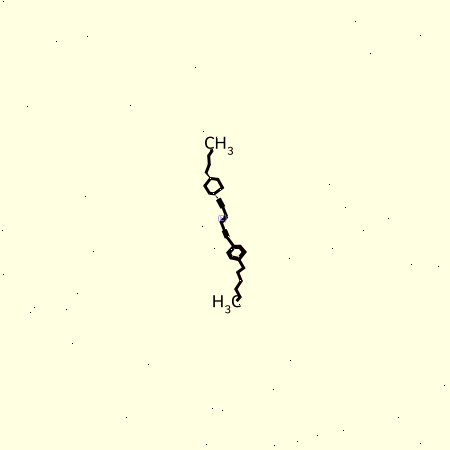 CCCCCCc1ccc(C#C/C=C/C#C[C@H]2CC[C@H](CCCCC)CC2)cc1